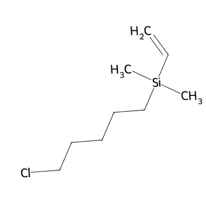 C=C[Si](C)(C)CCCCCCl